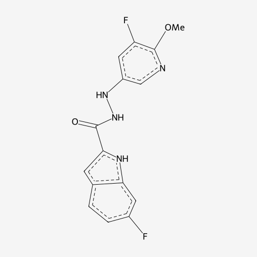 COc1ncc(NNC(=O)c2cc3ccc(F)cc3[nH]2)cc1F